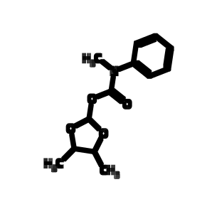 CC1OC(OC(=O)N(C)c2ccccc2)OC1C